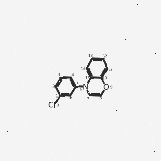 Clc1cccc(N2C=COc3ccccc32)c1